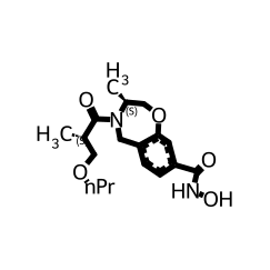 CCCOC[C@H](C)C(=O)N1Cc2ccc(C(=O)NO)cc2OC[C@@H]1C